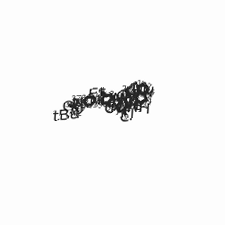 CCc1cc(Nc2ncc(Cl)c(Nc3ccc4nccnc4c3NS(C)(=O)=O)n2)c(OC)cc1N1CCC(N(C)C(=O)OC(C)(C)C)CC1